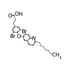 CCCCCCCc1ccc2cc(Oc3c(Br)cc(CCC(=O)O)cc3Br)ccc2n1